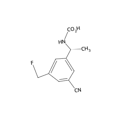 C[C@@H](NC(=O)O)c1cc(C#N)cc(CF)c1